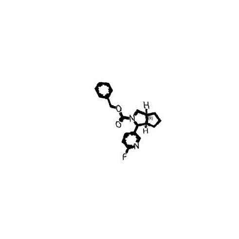 O=C(OCc1ccccc1)N1C[C@@H]2CCC[C@@H]2C1c1ccc(F)nc1